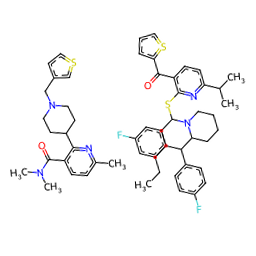 CCCCCC(Sc1nc(C(C)C)ccc1C(=O)c1cccs1)N1CCCCC1C(c1ccc(F)cc1)c1ccc(F)cc1.Cc1ccc(C(=O)N(C)C)c(C2CCN(Cc3ccsc3)CC2)n1